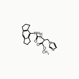 COC(=O)C(Cn1ccnc1)NC(=O)Nc1c2c(cc3c1CCC3)CCC2